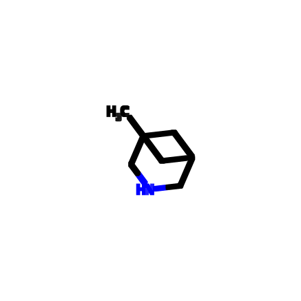 CC12CNCC(C1)C2